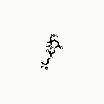 CC1(CN)CCC(=O)N(CC(=O)OCCS(C)(=O)=O)S1(=O)=O